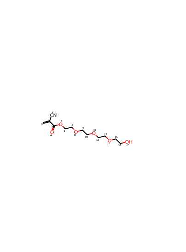 C=C(C#N)C(=O)OCCOCCOCCOCCO